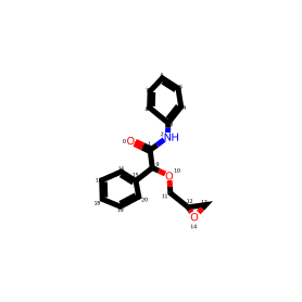 O=C(Nc1ccccc1)C(OCC1CO1)c1ccccc1